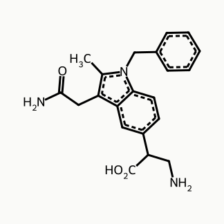 Cc1c(CC(N)=O)c2cc(C(CN)C(=O)O)ccc2n1Cc1ccccc1